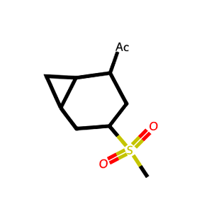 CC(=O)C1CC(S(C)(=O)=O)CC2CC21